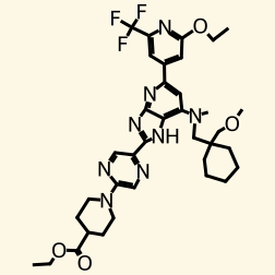 CCOC(=O)C1CCN(c2cnc(-c3nc4nc(-c5cc(OCC)nc(C(F)(F)F)c5)cc(N(C)CC5(COC)CCCCC5)c4[nH]3)cn2)CC1